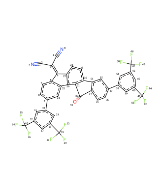 N#CC(C#N)=C1c2ccc(-c3cc(C(F)(F)F)cc(C(F)(F)F)c3)cc2-c2c1ccc1c2C(=O)c2ccc(-c3cc(C(F)(F)F)cc(C(F)(F)F)c3)cc2-1